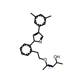 C/C(=C/C(C)O)OCCc1ccccc1C1C=C(c2cc(C)cc(C)c2)C=N1